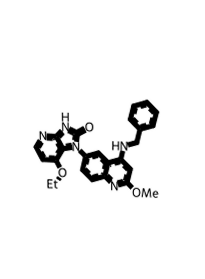 CCOc1ccnc2[nH]c(=O)n(-c3ccc4nc(OC)cc(NCc5ccccc5)c4c3)c12